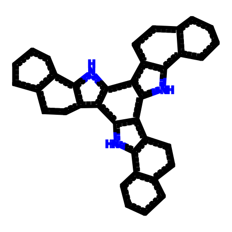 c1ccc2c(c1)ccc1c2[nH]c2c1c1[nH]c3c4ccccc4ccc3c1c1[nH]c3c4ccccc4ccc3c21